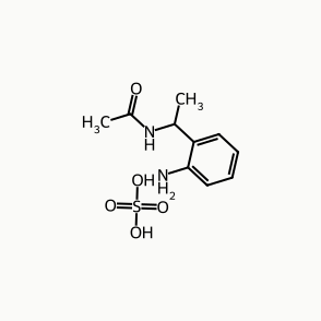 CC(=O)NC(C)c1ccccc1N.O=S(=O)(O)O